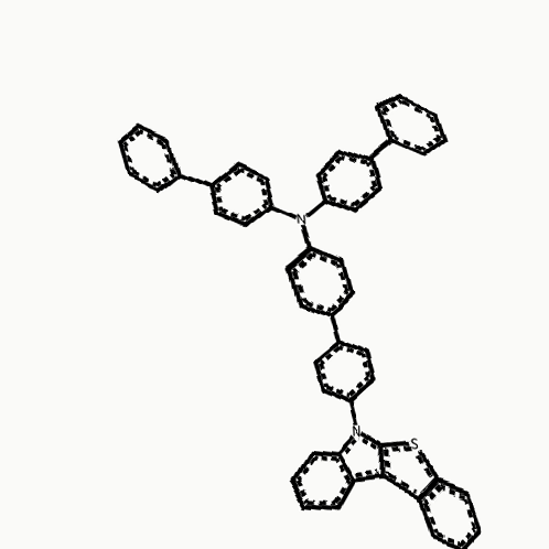 c1ccc(-c2ccc(N(c3ccc(-c4ccccc4)cc3)c3ccc(-c4ccc(-n5c6ccccc6c6c7ccccc7sc65)cc4)cc3)cc2)cc1